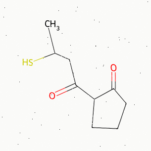 CC(S)CC(=O)C1CCCC1=O